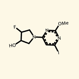 COc1nc(I)cc(N2CC(O)C(F)C2)n1